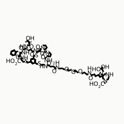 C[C@H](C(=O)N[C@@H](CCC(N)=O)C(=O)N[C@@H](Cc1ccccc1)C(=O)NC(CSCc1cc(CSCCNC(=O)CCC(=O)NCCCOCCOCCOCCCNC(=O)CCCCC2(N(C)CC(O)O)CNCCN(CC(=O)O)C2)cc(CSCCC(=O)N2CCC[C@H]2C(=O)N2CCC[C@H]2C(N)=O)c1)C(=O)O)[C@@H](C)O